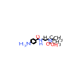 CC(C)(C)N(CCCNC(=O)c1ccc(N)cc1)C(=O)O